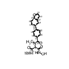 CNC(=O)C(C(=O)NO)N(C)C(=O)c1ccc(-c2ccc3occc3c2)cc1